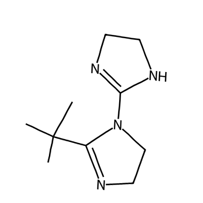 CC(C)(C)C1=NCCN1C1=NCCN1